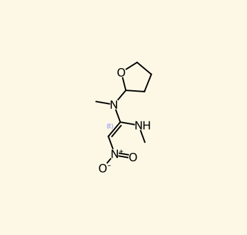 CN/C(=C\[N+](=O)[O-])N(C)C1CCCO1